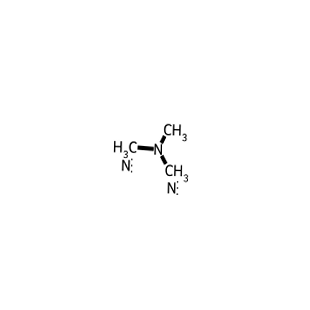 CN(C)C.[N].[N]